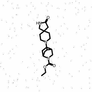 CCOC(=O)N1CC2CCC1CC2N1CCC2(CC1)CNC(=O)C2